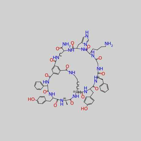 C[C@H]1NC(=O)C(Cc2ccc(O)cc2)NC(=O)C(c2ccccc2)NC(=O)c2cc3cc(c2)C(=O)NCC(C(N)=O)NC(=O)C(Cc2c[nH]cn2)NC(=O)C(CCCCN)NC(=O)CNC(=O)[C@@H](Cc2ccccc2)NC(=O)C(Cc2ccc(O)cc2)NC(=O)[C@H](CCCCNC3=O)NC1=O